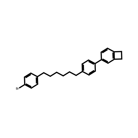 Brc1ccc(CCCCCCc2ccc(-c3ccc4c(c3)CC4)cc2)cc1